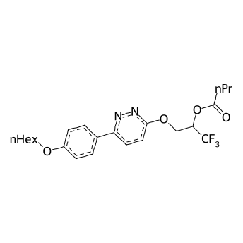 CCCCCCOc1ccc(-c2ccc(OCC(OC(=O)CCC)C(F)(F)F)nn2)cc1